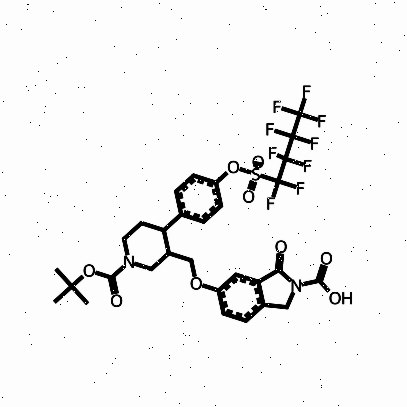 CC(C)(C)OC(=O)N1CCC(c2ccc(OS(=O)(=O)C(F)(F)C(F)(F)C(F)(F)C(F)(F)F)cc2)C(COc2ccc3c(c2)C(=O)N(C(=O)O)C3)C1